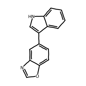 c1ccc2c(-c3ccc4ocnc4c3)c[nH]c2c1